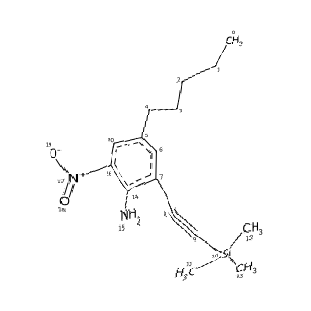 CCCCCc1cc(C#C[Si](C)(C)C)c(N)c([N+](=O)[O-])c1